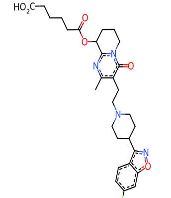 Cc1nc2n(c(=O)c1CCN1CCC(c3noc4cc(F)ccc34)CC1)CCCC2OC(=O)CCCCC(=O)O